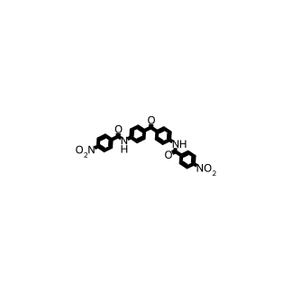 O=C(Nc1ccc(C(=O)c2ccc(NC(=O)c3ccc([N+](=O)[O-])cc3)cc2)cc1)c1ccc([N+](=O)[O-])cc1